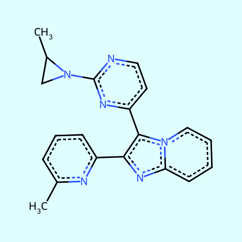 Cc1cccc(-c2nc3ccccn3c2-c2ccnc(N3CC3C)n2)n1